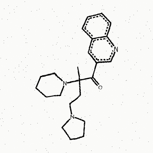 CC(CCN1CCCC1)(C(=O)c1cnc2ccccc2c1)N1CCCCC1